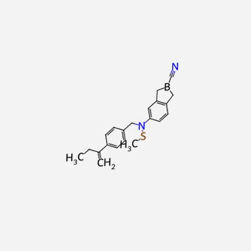 C=C(CC)c1ccc(CN(SC)c2ccc3c(c2)CB(C#N)C3)cc1